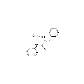 O=CN[C@H](Cc1ccccc1)C(=O)Nc1ccccc1